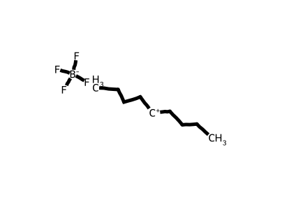 CCCC[CH+]CCCC.F[B-](F)(F)F